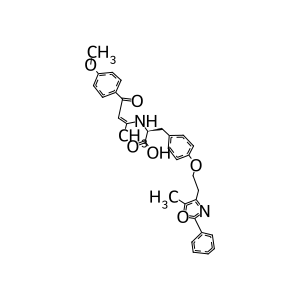 COc1ccc(C(=O)/C=C(/C)N[C@@H](Cc2ccc(OCCc3nc(-c4ccccc4)oc3C)cc2)C(=O)O)cc1